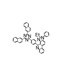 CCc1nc2c3c(-c4ccc(-c5nc(-c6ccc7ccccc7c6)nc(-c6ccc7ccccc7c6)n5)cc4)nc4ccccc4c3ccc2n1-c1ccccc1